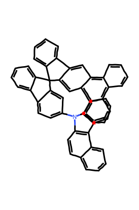 c1ccc2c(c1)-c1ccc(-n3c4ccccc4c4c5ccccc5ccc43)cc1C21c2ccccc2-c2cc3c4ccccc4c4ccccc4c3cc21